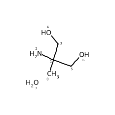 CC(N)(CO)CO.O